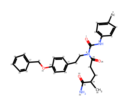 CC(=O)c1ccc(NC(=O)N(CCc2ccc(OCc3ccccc3)cc2)C(=O)[CH]CC(C)C(N)=O)cc1